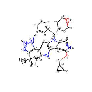 BC(B)(B)c1nnn(C)c1-c1cnc2c(c1)N([C@H](c1ccccc1)C1CCOCC1)C1C=NC(OCC3CC3)=C21